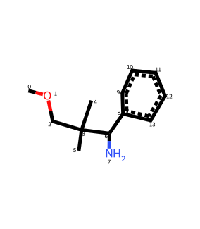 COCC(C)(C)C(N)c1ccccc1